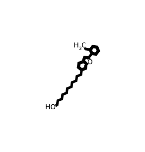 CCc1ccccc1-c1cc2ccc(CCCCCCCCCCCO)cc2o1